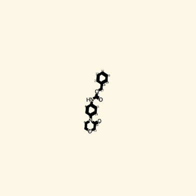 O=C(Nc1ccc(N2CCOCC2=O)cc1)OCc1ccccc1